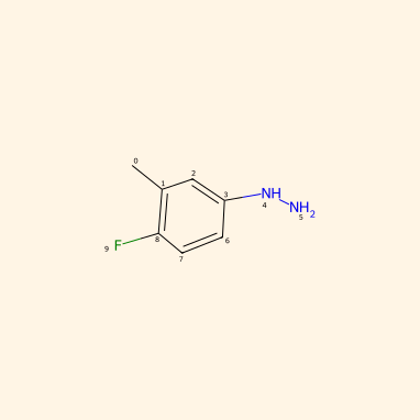 Cc1cc(NN)ccc1F